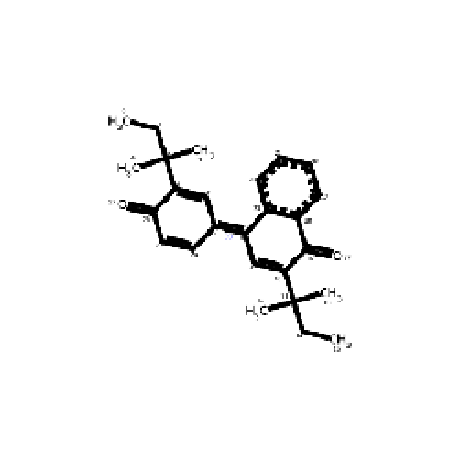 CCC(C)(C)C1=C/C(=C2/C=C(C(C)(C)CC)C(=O)c3ccccc32)C=CC1=O